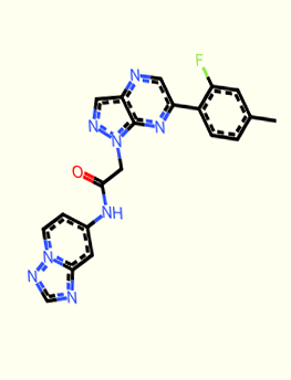 Cc1ccc(-c2cnc3cnn(CC(=O)Nc4ccn5ncnc5c4)c3n2)c(F)c1